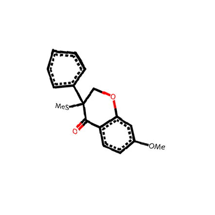 COc1ccc2c(c1)OCC(SC)(c1ccccc1)C2=O